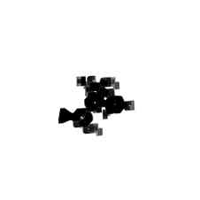 Cc1nc2cc(N3CC(C4CC4)O[C@H](C)C3)nc(-c3ccc(Cl)cc3F)c2c(=O)n1C